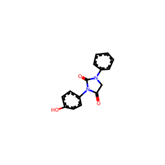 O=C1CN(c2ccccc2)C(=O)N1c1ccc(O)cc1